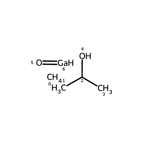 C.CC(C)O.[O]=[GaH]